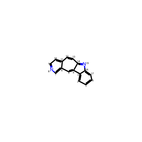 c1ccc2c3cc4cnccc4ccc-3nc2c1